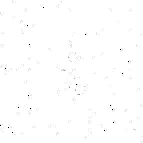 CCC[C@H](NC(=O)/C(C#N)=C/c1ccc(I)c(Cl)c1)c1ccccc1